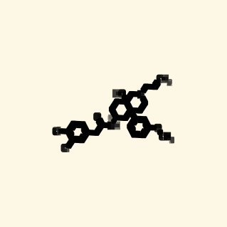 C=CCN1CCC2(c3cccc(OC)c3)C[C@@H](NC(=O)Cc3ccc(Cl)c(Cl)c3)CCC2(O)C1